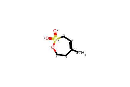 CC1=CCS(=O)(=O)OCC1